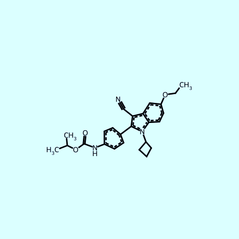 CCOc1ccc2c(c1)c(C#N)c(-c1ccc(NC(=O)OC(C)C)cc1)n2C1CCC1